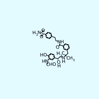 CC(C)(Cc1cccc(C(=O)NCCc2ccc(S(N)(=O)=O)cc2)c1)NC[C@H](O)c1ccc(O)c(NC=O)c1